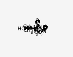 CCc1nc2ccccc2n1-c1nc(N2CCOCC2)c2nc(CCN3CC(C(C)(C)O)C3)n(C)c2n1